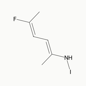 C/C(F)=C\C=C(/C)NI